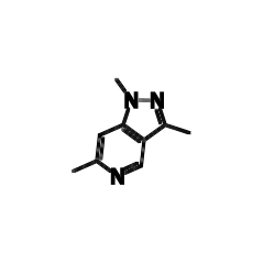 Cc1cc2c(cn1)c(C)nn2C